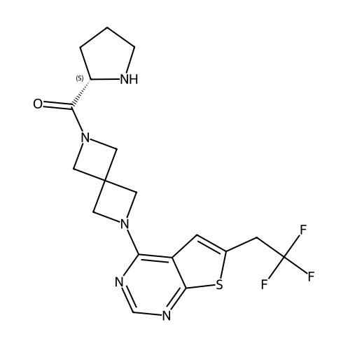 O=C([C@@H]1CCCN1)N1CC2(C1)CN(c1ncnc3sc(CC(F)(F)F)cc13)C2